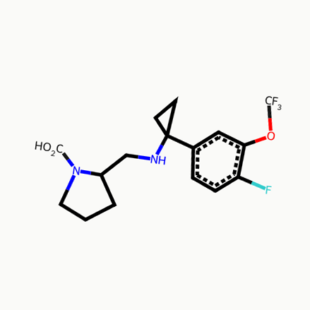 O=C(O)N1CCCC1CNC1(c2ccc(F)c(OC(F)(F)F)c2)CC1